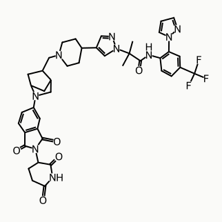 CC(C)(C(=O)Nc1ccc(C(F)(F)F)cc1-n1cccn1)n1cc(C2CCN(CC3CC4CC3CN4c3ccc4c(c3)C(=O)N(C3CCC(=O)NC3=O)C4=O)CC2)cn1